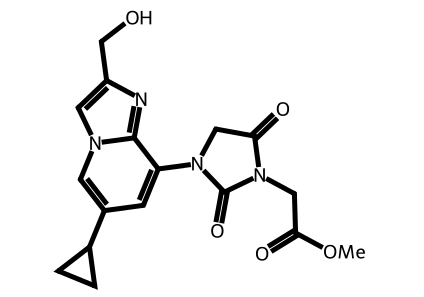 COC(=O)CN1C(=O)CN(c2cc(C3CC3)cn3cc(CO)nc23)C1=O